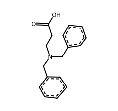 O=C(O)CCN(Cc1ccccc1)Cc1ccccc1